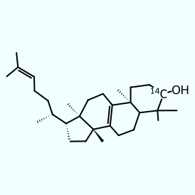 CC(C)=CCC[C@@H](C)[C@H]1CC[C@@]2(C)C3=C(CC[C@]12C)[C@@]1(C)CC[14CH](O)C(C)(C)C1CC3